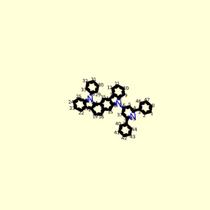 c1ccc(-c2cc(-n3c4ccccc4c4cc5c(ccc6c7ccccc7n(-c7ccccc7)c56)cc43)cc(-c3ccccc3)n2)cc1